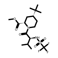 COC(=O)[C@@H]1C[C@H](C(C)(C)C)CCN1C(=O)[C@@H](NS(=O)(=O)C(F)(F)F)C(C)C